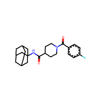 O=C(NC12CC3CC(CC(C3)C1)C2)C1CCN(C(=O)c2ccc(F)cc2)CC1